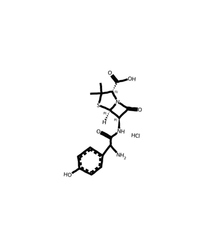 CC1(C)S[C@@H]2[C@H](NC(=O)C(N)c3ccc(O)cc3)C(=O)N2[C@H]1C(=O)O.Cl